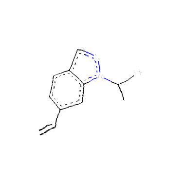 C=Cc1ccc2cnn(C(C)C(F)(F)F)c2c1